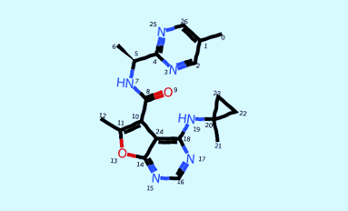 Cc1cnc([C@H](C)NC(=O)c2c(C)oc3ncnc(NC4(C)CC4)c23)nc1